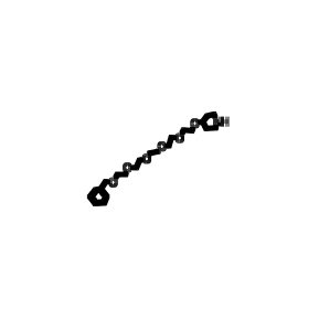 c1ccc(COCCOCCOCCOCCOCCOC2CCNCC2)cc1